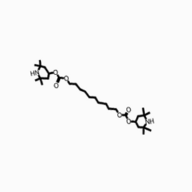 CC1(C)CC(OC(=O)OCCCCCCCCCCOC(=O)OC2CC(C)(C)NC(C)(C)C2)CC(C)(C)N1